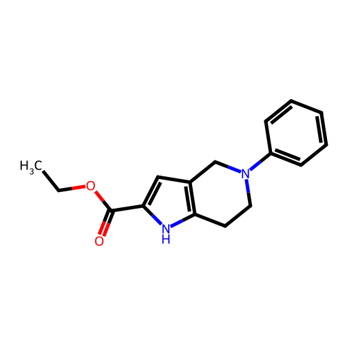 CCOC(=O)c1cc2c([nH]1)CCN(c1ccccc1)C2